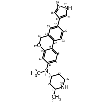 C[C@H]1C[C@H](N(C)c2ccc3c(c2)OCc2cc(-c4cn[nH]c4)ccc2-3)CCN1